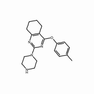 Cc1ccc(Oc2nc(N3CCNCC3)nc3c2CCCC3)cc1